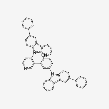 N#Cc1ccc(-n2c3ccccc3c3cc(-c4ccccc4)ccc32)cc1-c1cnccc1-n1c2ccccc2c2cc(-c3ccccc3)ccc21